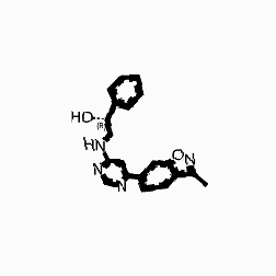 Cc1noc2cc(-c3cc(NC[C@H](O)c4ccccc4)ncn3)ccc12